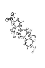 CCc1ccc2c(c1)C(C)(C)c1cc3c(cc1-2)C(C)(C)c1cc([N+](=O)[O-])ccc1-3